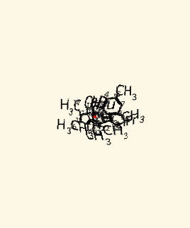 CCCC[Si](C)(c1cc(C)cc(C)c1)C1(C)C(C)=C(C)C(C)=[C]1[Ti]([CH3])([CH3])([CH3])[CH2]CC(C)C